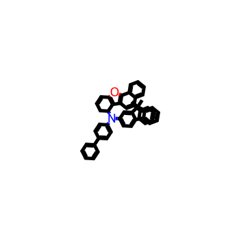 CC1(C)c2ccccc2-c2ccc(N(c3ccc(-c4ccccc4)cc3)C3CC=Cc4oc5c(cc(-c6ccccc6)c6ccccc65)c43)cc21